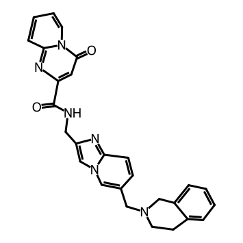 O=C(NCc1cn2cc(CN3CCc4ccccc4C3)ccc2n1)c1cc(=O)n2ccccc2n1